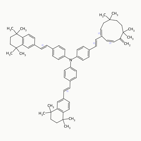 C=C1\C=C/C(/C=C/c2ccc(N(c3ccc(/C=C/c4ccc5c(c4)C(C)(C)CCC5(C)C)cc3)c3ccc(/C=C/c4ccc5c(c4)C(C)(C)CCC5(C)C)cc3)cc2)=C\CC(C)(C)CCC1(C)C